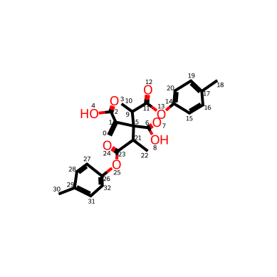 C=C(C(=O)O)C(C(=O)O)(C(C)C(=O)Oc1ccc(C)cc1)C(C)C(=O)Oc1ccc(C)cc1